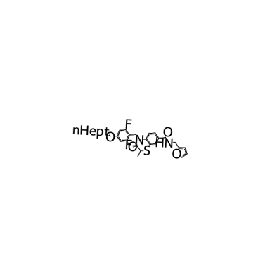 CCCCCCCOc1cc(F)c(CN2C(=O)C(C)Sc3cc(C(=O)NCc4ccco4)ccc32)c(F)c1